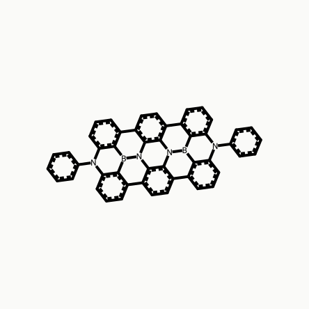 c1ccc(N2c3cccc4c3B3c5c(cccc52)-c2ccc5c6c2N3c2c-4ccc3c2N6B2c4c-3cccc4N(c3ccccc3)c3cccc-5c32)cc1